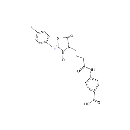 O=C(CCCN1C(=O)/C(=C/c2ccc(F)cc2)SC1=S)Nc1ccc(C(=O)O)cc1